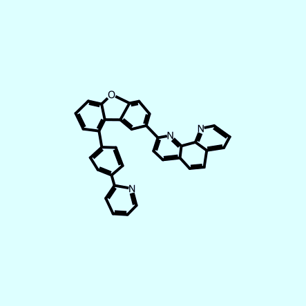 c1ccc(-c2ccc(-c3cccc4oc5ccc(-c6ccc7ccc8cccnc8c7n6)cc5c34)cc2)nc1